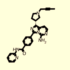 CC#CCN1CC[C@@H](c2nc(-c3ccc(C(=O)Nc4ccccn4)cc3)n3c(N)nccc23)C1